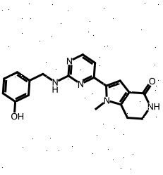 Cn1c(-c2ccnc(NCc3cccc(O)c3)n2)cc2c1CCNC2=O